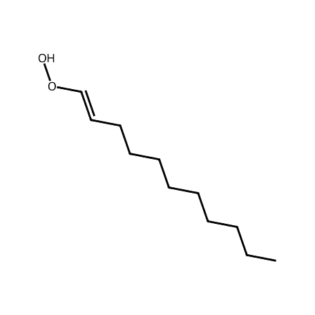 CCCCCCCCCC=COO